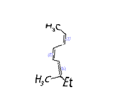 C\C=C/C=C\C=C(/C)CC